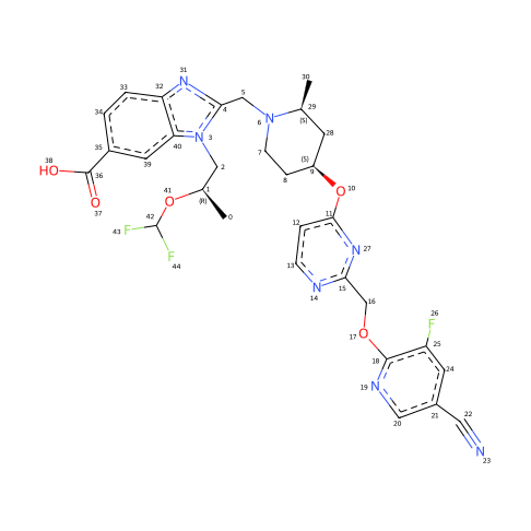 C[C@H](Cn1c(CN2CC[C@H](Oc3ccnc(COc4ncc(C#N)cc4F)n3)C[C@@H]2C)nc2ccc(C(=O)O)cc21)OC(F)F